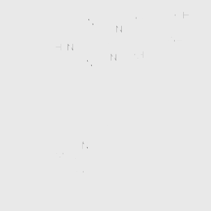 Cc1ccc(OC(=O)N2CCC(CC#Cc3nc(N)c4ncn([C@@H]5O[C@H](CO)[C@H](O)C5O)c4n3)CC2)cc1C